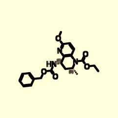 CCOC(=O)N1c2ccc(OC)nc2[C@@H](NC(=O)OCc2ccccc2)C[C@H]1C